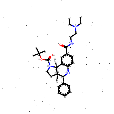 CCN(CC)CCNC(=O)c1ccc2c(c1)[C@@H]1[C@@H](CCN1C(=O)OC(C)(C)C)C(c1ccccc1)N2